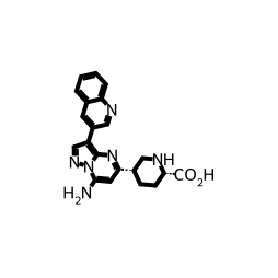 Nc1cc([C@H]2CC[C@@H](C(=O)O)NC2)nc2c(-c3cnc4ccccc4c3)cnn12